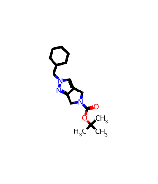 CC(C)(C)OC(=O)N1Cc2cn(CC3CCCCC3)nc2C1